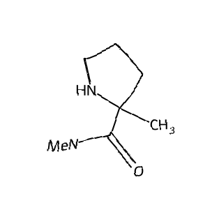 CNC(=O)C1(C)CCCN1